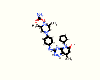 Cc1cc(=O)n(C2CCCC2)c2nc(Nc3ccc(N4CC(C)N(OC(N)=O)C(C)C4)cc3)nnc12